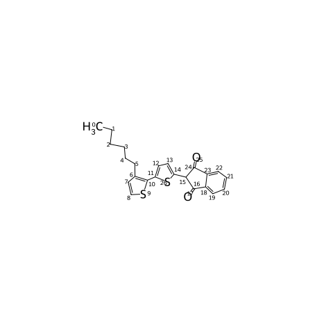 CCCCCCc1ccsc1-c1ccc(C2C(=O)c3ccccc3C2=O)s1